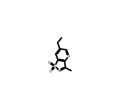 CCc1cnc2c(c1)S(=O)(=O)N=C2C